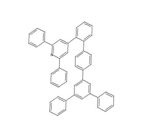 c1ccc(-c2cc(-c3ccccc3)cc(-c3ccc(-c4ccccc4-c4cc(-c5ccccc5)nc(-c5ccccc5)c4)cc3)c2)cc1